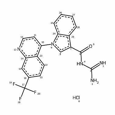 Cl.N=C(N)NC(=O)c1cn(-c2ccnc3cc(C(F)(F)F)ccc23)c2ccccc12